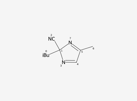 CCC(C)C1(C#N)N=CC(C)=N1